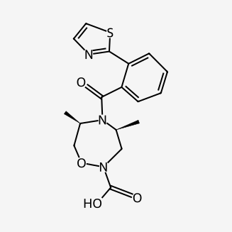 C[C@@H]1CON(C(=O)O)C[C@H](C)N1C(=O)c1ccccc1-c1nccs1